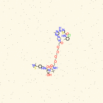 Cc1nc(Nc2ncc(C(=O)Nc3c(C)cccc3Cl)s2)cc(N2CCN(C(=O)CCOCCOCCOCCOCCC(=O)NC(C(=O)N3C[C@H](O)C[C@H]3C(=O)NCc3ccc(-c4scnc4C)cc3)C(C)(C)C)CC2)n1